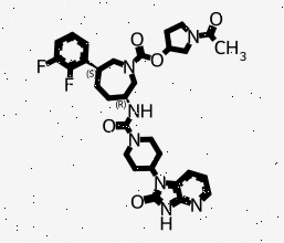 CC(=O)N1CCC(OC(=O)N2C[C@H](NC(=O)N3CCC(n4c(=O)[nH]c5ncccc54)CC3)CC[C@@H](c3cccc(F)c3F)C2)C1